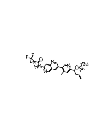 C=CCC(O[Si](C)(C)C(C)(C)C)c1cc(C)c(-c2cnc3cc(NC(=O)[C@H]4CC4(F)F)ncc3c2)cn1